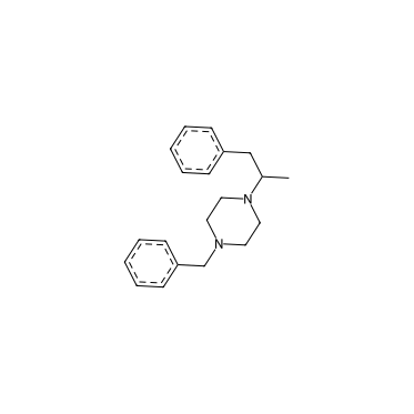 CC(Cc1ccccc1)N1CCN(Cc2ccccc2)CC1